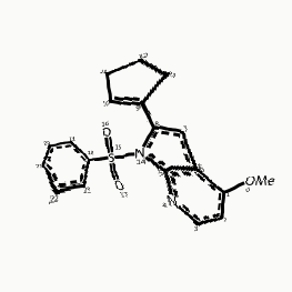 COc1ccnc2c1cc(C1=CCCC1)n2S(=O)(=O)c1ccccc1